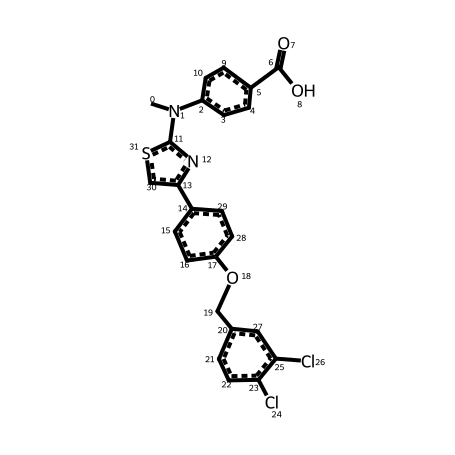 CN(c1ccc(C(=O)O)cc1)c1nc(-c2ccc(OCc3ccc(Cl)c(Cl)c3)cc2)cs1